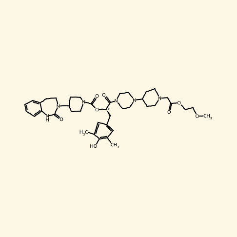 COCCOC(=O)CN1CCC(N2CCN(C(=O)[C@@H](Cc3cc(C)c(O)c(C)c3)OC(=O)N3CCC(N4CCc5ccccc5NC4=O)CC3)CC2)CC1